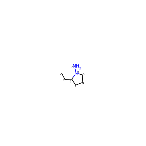 CCC1CCCN1N